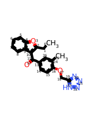 CCc1oc2ccccc2c1C(=O)c1ccc(OCc2nnn[nH]2)c(C)c1